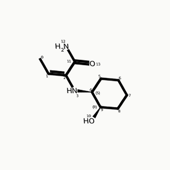 CC=C(N[C@H]1CCCC[C@H]1O)C(N)=O